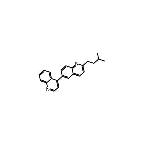 CC(C)CCc1ccc2cc(-c3ccnc4ccccc34)ccc2n1